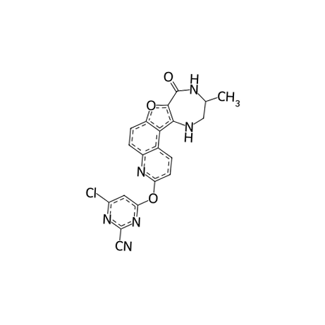 CC1CNc2c(oc3ccc4nc(Oc5cc(Cl)nc(C#N)n5)ccc4c23)C(=O)N1